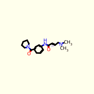 CN(C)C/C=C/C(=O)NC1=CC=C(C(=O)N2CCCCC2)CC=C1